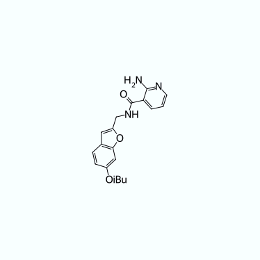 CC(C)COc1ccc2cc(CNC(=O)c3cccnc3N)oc2c1